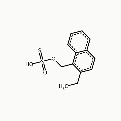 CCc1ccc2ccccc2c1COS(=O)(O)=S